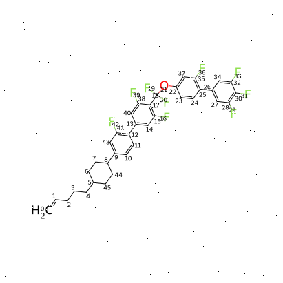 C=CCCCC1CCC(c2ccc(-c3cc(F)c(C(F)(F)Oc4ccc(-c5cc(F)c(F)c(F)c5)c(F)c4)c(F)c3)c(F)c2)CC1